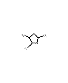 CC1OC(C(F)(F)F)OC1C